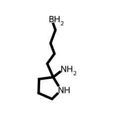 BCCCCC1(N)CCCN1